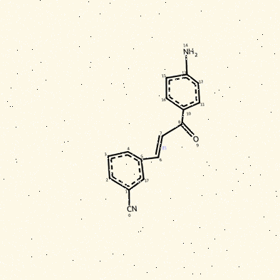 N#Cc1cccc(/C=C/C(=O)c2ccc(N)cc2)c1